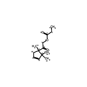 CCC(=O)OCC(=O)C1(C)CC=CC1(C)C